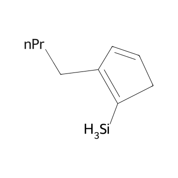 CCCCC1=C([SiH3])CC=C1